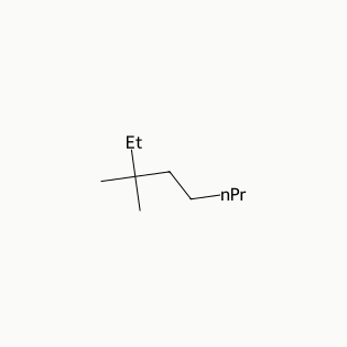 [CH2]CC(C)(C)CCCCC